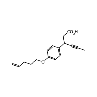 C=CCCCOc1ccc(C(C#CC)CC(=O)O)cc1